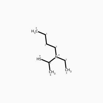 CCCCN(CC)C(C)S